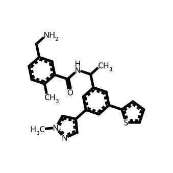 Cc1ccc(CN)cc1C(=O)NC(C)c1cc(-c2cnn(C)c2)cc(-c2cccs2)c1